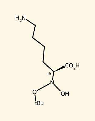 CC(C)(C)ON(O)[C@@H](CCCCN)C(=O)O